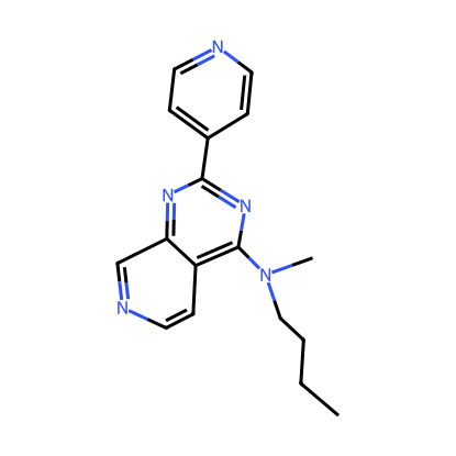 CCCCN(C)c1nc(-c2ccncc2)nc2cnccc12